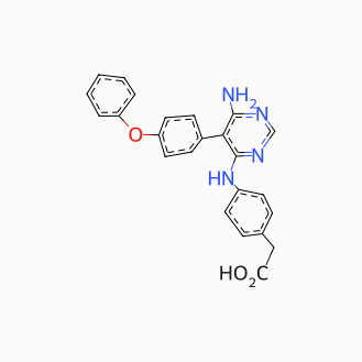 Nc1ncnc(Nc2ccc(CC(=O)O)cc2)c1-c1ccc(Oc2ccccc2)cc1